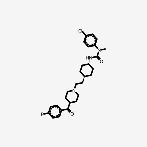 CN(C(=O)N[C@H]1CC[C@H](CCN2CCC(C(=O)c3ccc(F)cc3)CC2)CC1)c1ccc(Cl)cc1